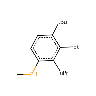 CCCc1c(PC)ccc(C(C)(C)C)c1CC